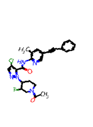 CC(=O)N1CCC(n2ncc(Cl)c2C(=O)Nc2ncc(C#Cc3ccccc3)cc2C)C(F)C1